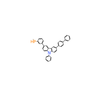 CPc1cccc(-c2ccc3c(c2)c2cc(-c4ccc(-c5ccccc5)cc4)ccc2n3-c2ccccc2)c1